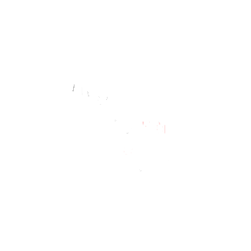 CC(O)C(C)OC(=O)/C=C/C(=O)O